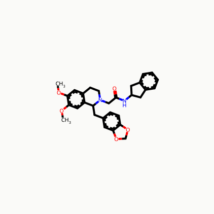 COc1cc2c(cc1OC)C(Cc1ccc3c(c1)OCO3)N(CC(=O)NC1Cc3ccccc3C1)CC2